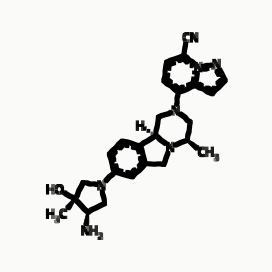 C[C@@H]1CN(c2ccc(C#N)n3nccc23)C[C@@H]2c3ccc(N4C[C@@H](N)[C@](C)(O)C4)cc3CN12